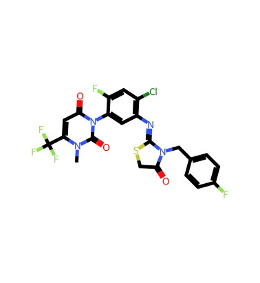 Cn1c(C(F)(F)F)cc(=O)n(-c2cc(N=C3SCC(=O)N3Cc3ccc(F)cc3)c(Cl)cc2F)c1=O